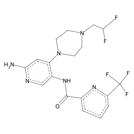 Nc1cc(N2CCN(CC(F)F)CC2)c(NC(=O)c2cccc(C(F)(F)F)n2)cn1